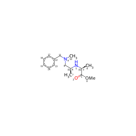 COC(=O)[C@H](C)N[C@@H](C)CN(C)Cc1ccccc1